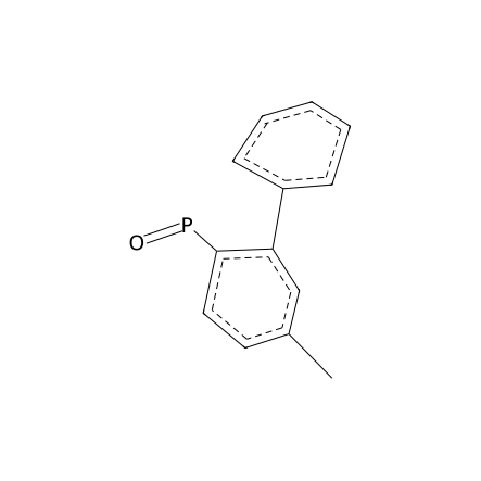 Cc1ccc(P=O)c(-c2ccccc2)c1